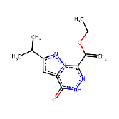 C=C(OCC)c1n[nH]c(=O)c2cc(C(C)C)nn12